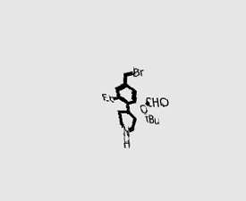 CC(C)(C)OC=O.CCc1cc(CBr)ccc1C1CCNCC1